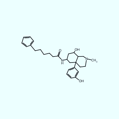 CN1CCC2(c3cccc(O)c3)CC(NC(=O)CCCCCc3ccccc3)CC(O)C2C1